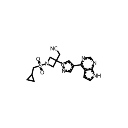 N#CCC1(n2cc(-c3ncnc4[nH]ccc34)cn2)CN(S(=O)(=O)CC2CC2)C1